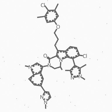 Cc1cc(OCCCc2c3n(c4c(-c5c(C)nn(C)c5C)c(Cl)ccc24)C(C)CN(c2cn(C)c4ccc(-c5ccn(C)n5)cc24)C3=O)cc(C)c1Cl